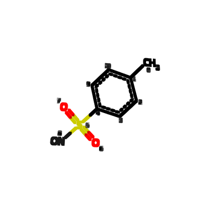 Cc1ccc(S(=O)(=O)N=O)cc1